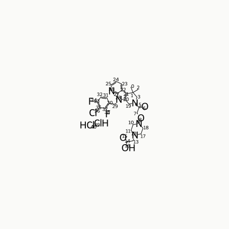 CC1(C)CN(C(=O)CON2CCN(CC(=O)O)CC2)Cc2c1c1cccnc1n2Cc1ccc(F)c(Cl)c1F.Cl.Cl